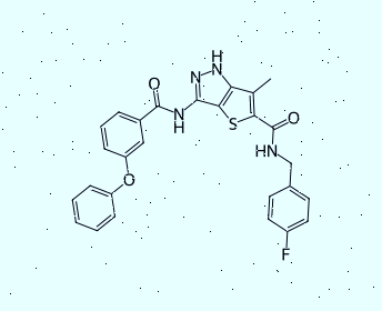 Cc1c(C(=O)NCc2ccc(F)cc2)sc2c(NC(=O)c3cccc(Oc4ccccc4)c3)n[nH]c12